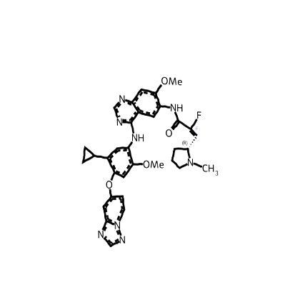 COc1cc2ncnc(Nc3cc(C4CC4)c(Oc4ccn5ncnc5c4)cc3OC)c2cc1NC(=O)/C(F)=C\[C@H]1CCCN1C